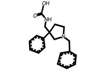 O=C(O)NCC1(c2ccccc2)CCN(Cc2ccccc2)C1